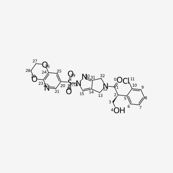 O=C([C@H](CO)c1ccccc1Cl)N1Cc2cn(S(=O)(=O)c3cnc4c(c3)OCCO4)nc2C1